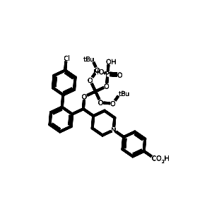 CC(C)(C)OOC(OOC(C)(C)C)(OC(c1ccccc1-c1ccc(Cl)cc1)C1CCN(c2ccc(C(=O)O)cc2)CC1)OP(=O)(O)O